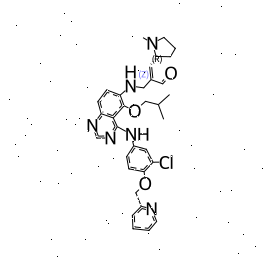 CC(C)COc1c(NC/C(C=O)=C/[C@H]2CCCN2C)ccc2ncnc(Nc3ccc(OCc4ccccn4)c(Cl)c3)c12